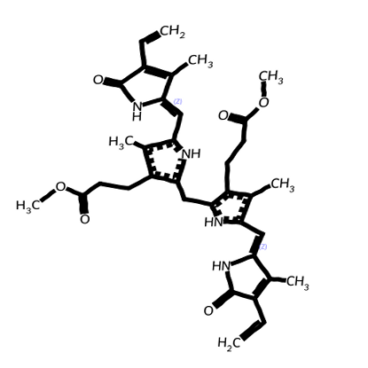 C=CC1=C(C)/C(=C/c2[nH]c(Cc3[nH]c(/C=C4\NC(=O)C(C=C)=C4C)c(C)c3CCC(=O)OC)c(CCC(=O)OC)c2C)NC1=O